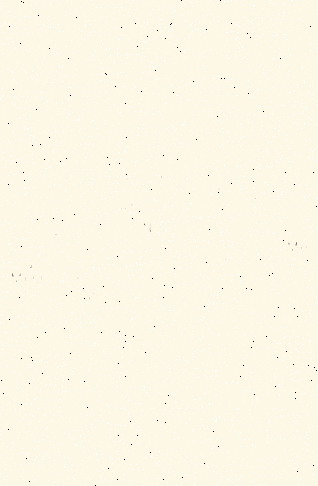 COc1ccc(C(C)NC(=O)c2ccc(OC)c(Cl)c2)cc1